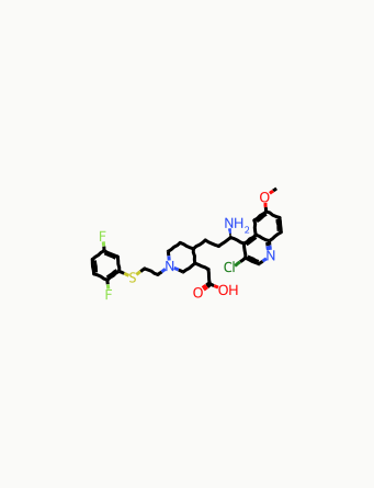 COc1ccc2ncc(Cl)c([C@H](N)CCC3CCN(CCSc4cc(F)ccc4F)CC3CC(=O)O)c2c1